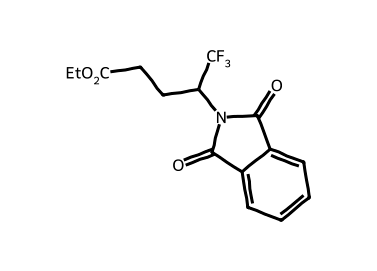 CCOC(=O)CCC(N1C(=O)c2ccccc2C1=O)C(F)(F)F